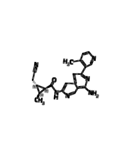 Cc1ccncc1-c1cc2cc(NC(=O)[C@H]3[C@@H](C)[C@@H]3CC#N)ncc2c(N)n1